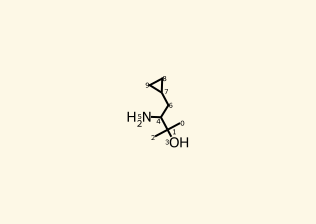 CC(C)(O)C(N)CC1CC1